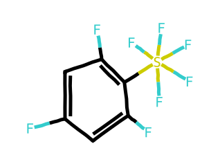 Fc1cc(F)c(S(F)(F)(F)(F)F)c(F)c1